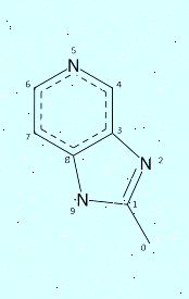 CC1=Nc2cnccc2[N]1